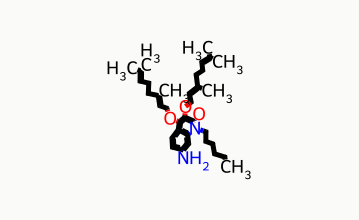 CCCCCCn1c(=O)c(OC/C=C(\C)CCC=C(C)C)c(OC/C=C(\C)CCC=C(C)C)c2ccc(N)cc21